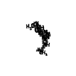 Cc1ccnc(NC(=O)c2ccc(-c3nn(C4CCC(NC/C=C/CN(C)C5CC5)CC4)c4ncnc(N)c34)cc2)c1